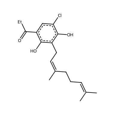 CCC(=O)c1cc(Cl)c(O)c(CC=C(C)CCC=C(C)C)c1O